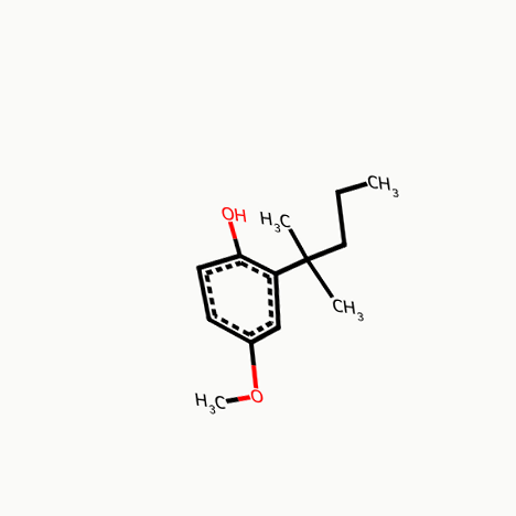 CCCC(C)(C)c1cc(OC)ccc1O